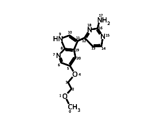 COCCOc1cnc2[nH]cc(-c3ccnc(N)n3)c2c1